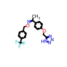 CC(=NOCc1ccc(C(F)(F)F)cc1)c1ccc(OCc2nnn[nH]2)cc1